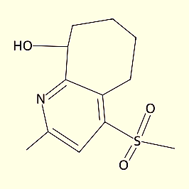 Cc1cc(S(C)(=O)=O)c2c(n1)C(O)CCCC2